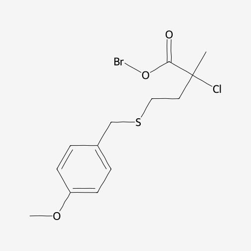 COc1ccc(CSCCC(C)(Cl)C(=O)OBr)cc1